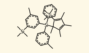 CC1=C(C)C(C)([Si](c2ccccc2)(c2cccc(C)c2)c2cc(C)cc([Si](C)(C)C)c2)[C]([Ti]([CH3])([CH3])[CH3])=C1C